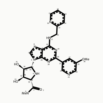 CNC(=O)[C@H]1N[C@@H](n2cnc3c(NCc4ccccn4)nc(-c4cncc(OC)c4)nc32)[C@H](O)[C@@H]1O